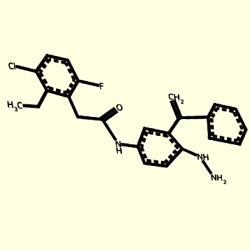 C=C(c1ccccc1)c1cc(NC(=O)Cc2c(F)ccc(Cl)c2CC)ccc1NN